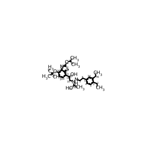 CCc1ccc(CCNN(C[C@H](O)c2ccc(OC(C)(C)C)c3nc(OC(C)C)sc23)C(C)O)cc1CC